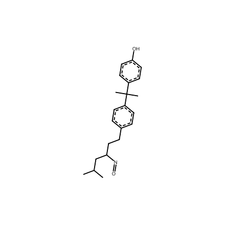 CC(C)CC(CCc1ccc(C(C)(C)c2ccc(O)cc2)cc1)N=O